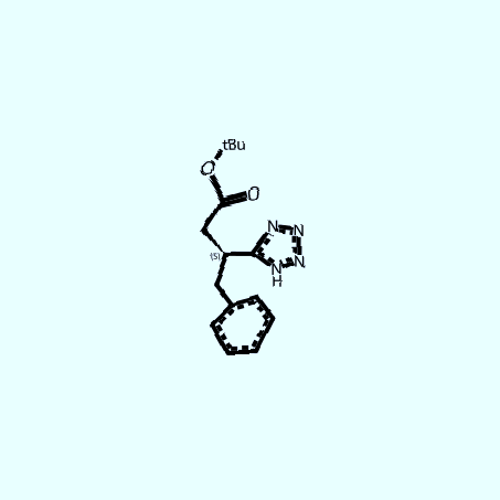 CC(C)(C)OC(=O)C[C@H](Cc1ccccc1)c1nnn[nH]1